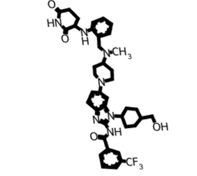 CN(Cc1ccccc1NC1CCC(=O)NC1=O)C1CCN(c2ccc3nc(NC(=O)c4cccc(C(F)(F)F)c4)n(C4CCC(CO)CC4)c3c2)CC1